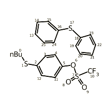 CCCCSc1ccc(OS(=O)(=O)C(F)(F)F)cc1.c1ccc(Sc2ccccc2)cc1